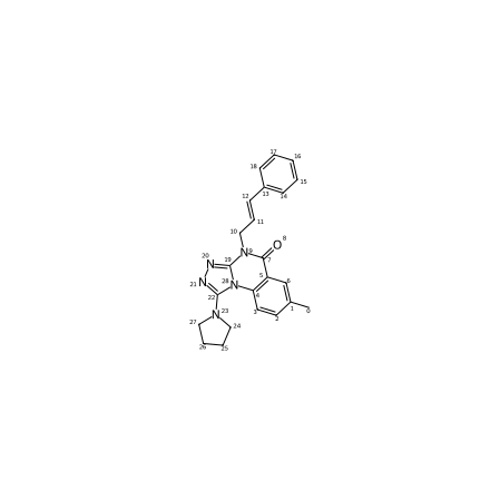 Cc1ccc2c(c1)c(=O)n(C/C=C/c1ccccc1)c1nnc(N3CCCC3)n21